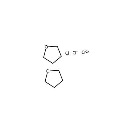 C1CCOC1.C1CCOC1.[Cl-].[Cl-].[Cr+2]